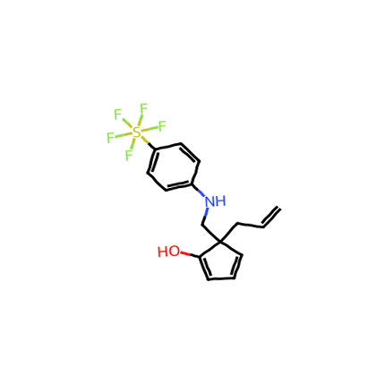 C=CCC1(CNc2ccc(S(F)(F)(F)(F)F)cc2)C=CC=C1O